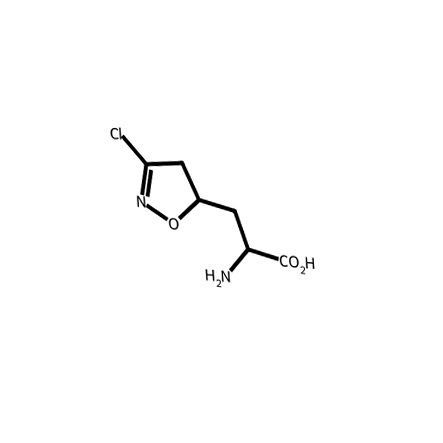 NC(CC1CC(Cl)=NO1)C(=O)O